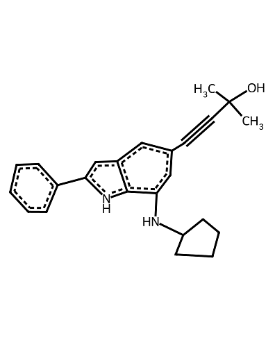 CC(C)(O)C#Cc1cc(NC2CCCC2)c2[nH]c(-c3ccccc3)cc2c1